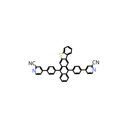 N#Cc1cc(-c2ccc(-c3c4ccccc4c(-c4ccc(-c5ccnc(C#N)c5)cc4)c4cc5c(cc34)sc3ccccc35)cc2)ccn1